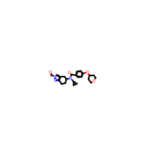 O=Cn1cc2c(n1)CCC(N(C(=O)c1ccc(OC3CCOCC3)cc1)C1CC1)C2